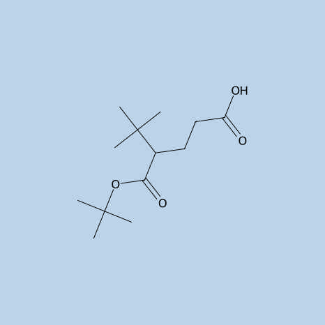 CC(C)(C)OC(=O)C(CCC(=O)O)C(C)(C)C